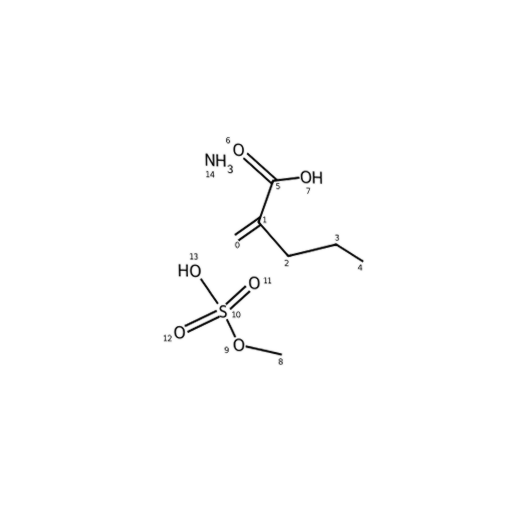 C=C(CCC)C(=O)O.COS(=O)(=O)O.N